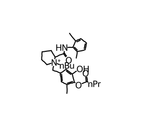 CCCC[N+]1(Cc2cc(C)c(OC(=O)CCC)c(O)c2)CCCCC1C(=O)Nc1c(C)cccc1C